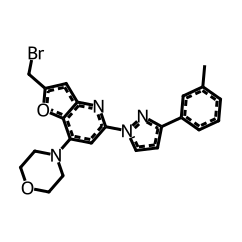 Cc1cccc(-c2ccn(-c3cc(N4CCOCC4)c4oc(CBr)cc4n3)n2)c1